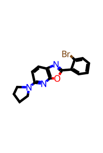 Brc1ccccc1-c1nc2ccc(N3CCCC3)nc2o1